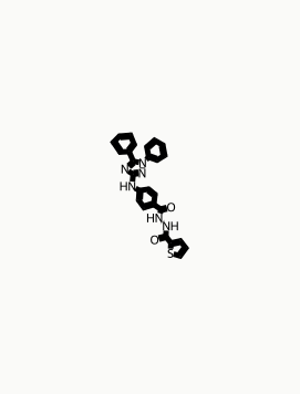 O=C(NNC(=O)c1cccs1)c1ccc(Nc2nc(-c3ccccc3)n(-c3ccccc3)n2)cc1